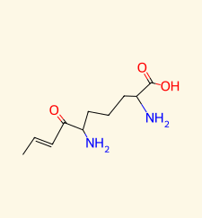 CC=CC(=O)C(N)CCCC(N)C(=O)O